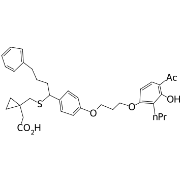 CCCc1c(OCCCOc2ccc(C(CCCc3ccccc3)SCC3(CC(=O)O)CC3)cc2)ccc(C(C)=O)c1O